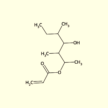 C=CC(=O)OC(C)C(C)C(O)C(C)CC